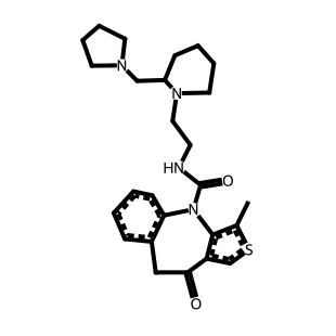 Cc1scc2c1N(C(=O)NCCN1CCCCC1CN1CCCC1)c1ccccc1CC2=O